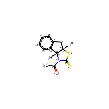 CC(=O)N1C(=S)S[C@H]2Cc3ccccc3[C@H]21